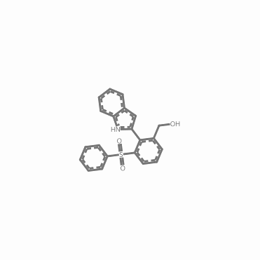 O=S(=O)(c1ccccc1)c1cccc(CO)c1-c1cc2ccccc2[nH]1